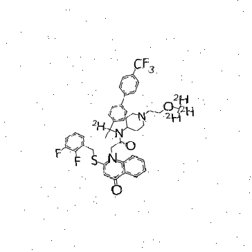 [2H]C([2H])([2H])OCCN1CCC(N(C(=O)Cn2c(SCc3cccc(F)c3F)cc(=O)c3ccccc32)C([2H])(C)c2ccc(-c3ccc(C(F)(F)F)cc3)cc2)CC1